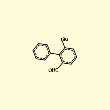 CC(C)(C)c1cccc(C=O)c1-c1ccccc1